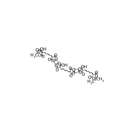 CCC1(C)OC(=O)C(=C/C=C/C=C/C2=C(O)OC3(CCC4(CC3)OC(=O)C(=C/C=C/C=C/C3=C(O)OC5(CCC6(CC5)OC(=O)C(=C/C=C/C=C/C5=C(O)OC(C)(CC)OC5=O)C(=O)O6)OC3=O)C(=O)O4)OC2=O)C(=O)O1